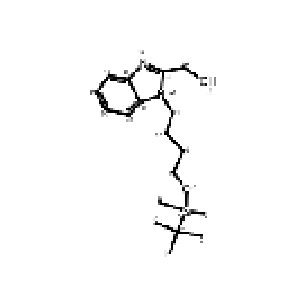 CC(C)(C)[Si](C)(C)OCCCCn1c(CO)nc2ccccc21